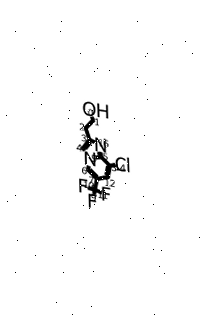 OCCc1cn2cc(C(F)(F)F)cc(Cl)c2n1